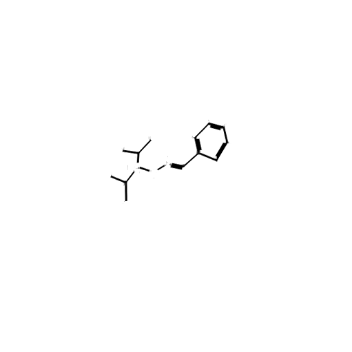 CC(C)[SiH](ON=Cc1ccccc1)C(C)C